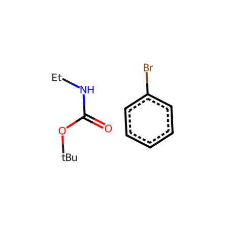 Brc1ccccc1.CCNC(=O)OC(C)(C)C